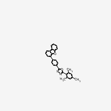 Cc1cc(C)c(-c2nnc(-c3ccc(-c4cccc5c4oc4ccccc45)cc3)o2)c(C)c1